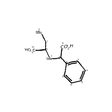 CC(C)(C)CC(NC(C(=O)O)c1ccccc1)C(=O)O